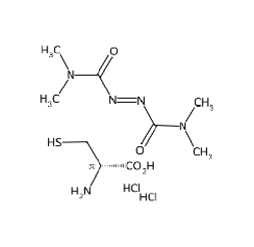 CN(C)C(=O)N=NC(=O)N(C)C.Cl.Cl.N[C@H](CS)C(=O)O